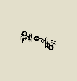 Cn1c(-c2ccccc2C(F)(F)F)nnc1C12CCC(COC(=O)NCc3ccccc3C(F)(F)F)(CC1)CC2